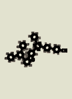 N#Cc1ccc(-c2ccc(-c3nc(-c4ccccc4)nc(-c4ccc5c(c4)oc4cccc(-c6cc(-c7ccccc7)cc(-c7ccccc7)c6)c45)n3)cc2)cc1